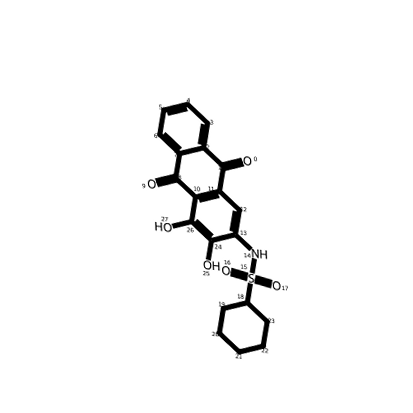 O=C1c2ccccc2C(=O)c2c1cc(NS(=O)(=O)C1CCCCC1)c(O)c2O